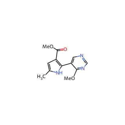 COC(=O)c1cc(C)[nH]c1-c1cncnc1OC